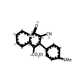 CCOC(=O)c1c(-c2ccc(SC)cc2)c(C#N)c(=O)n2ccccc12